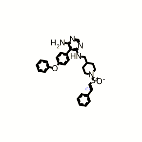 Nc1ncnc(NCC2CCN([S+]([O-])/C=C/c3ccccc3)CC2)c1-c1ccc(Oc2ccccc2)cc1